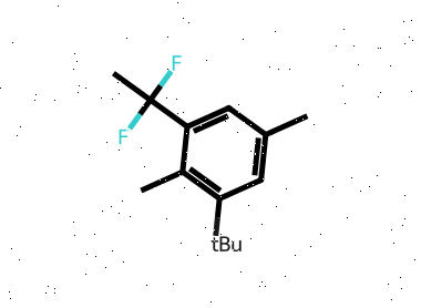 Cc1cc(C(C)(C)C)c(C)c(C(C)(F)F)c1